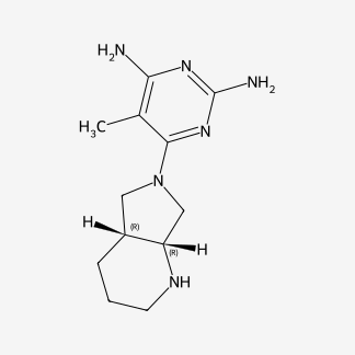 Cc1c(N)nc(N)nc1N1C[C@H]2CCCN[C@H]2C1